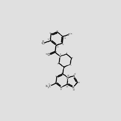 Cc1cc(C2CCCN(C(=O)c3cc(F)ccc3Cl)C2)n2ncnc2n1